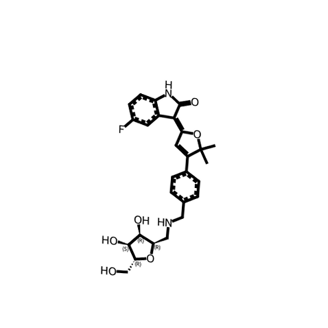 CC1(C)OC(=C2C(=O)Nc3ccc(F)cc32)C=C1c1ccc(CNC[C@H]2O[C@H](CO)[C@@H](O)[C@H]2O)cc1